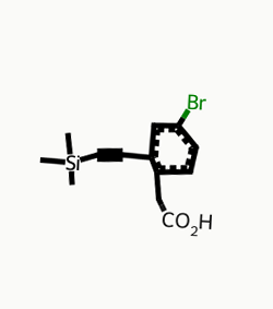 C[Si](C)(C)C#Cc1cc(Br)ccc1CC(=O)O